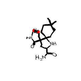 CC1(C)CCC2(CC1)NC(C(N)=O)CC21C(=O)Nc2ncccc21